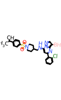 Bc1cnn2c(NCC3CCN(S(=O)(=O)c4ccc(C(C)C)cc4)CC3)cc(-c3ccccc3Cl)nc12